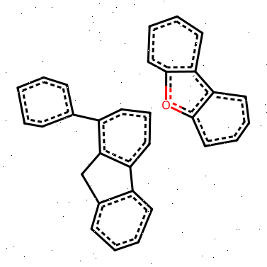 c1ccc(-c2cccc3c2Cc2ccccc2-3)cc1.c1ccc2c(c1)oc1ccccc12